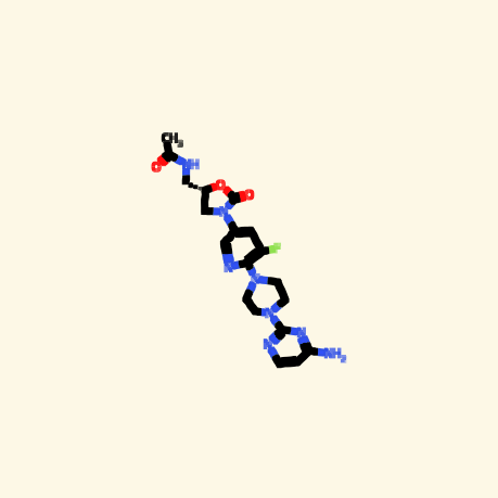 CC(=O)NC[C@H]1CN(c2cnc(N3CCN(c4nccc(N)n4)CC3)c(F)c2)C(=O)O1